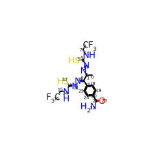 CC(=N\N=C(/S)NCC(F)(F)F)/C(=N/N=C(\S)NCC(F)(F)F)c1ccc(C(N)=O)cc1